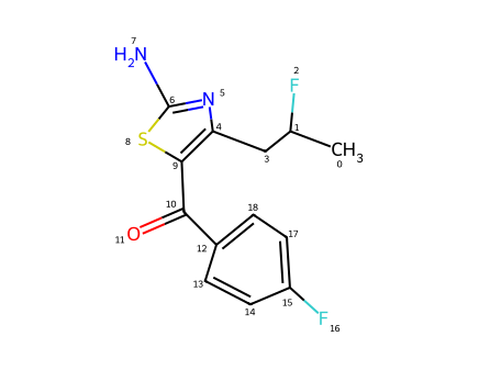 CC(F)Cc1nc(N)sc1C(=O)c1ccc(F)cc1